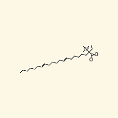 CCCCCCC=CCCCCC=CCCCCCC(CC)(P(=O)=O)[N+](C)(C)C